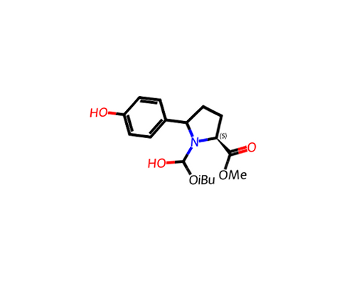 COC(=O)[C@@H]1CCC(c2ccc(O)cc2)N1C(O)OCC(C)C